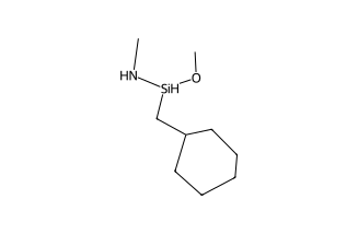 CN[SiH](CC1CCCCC1)OC